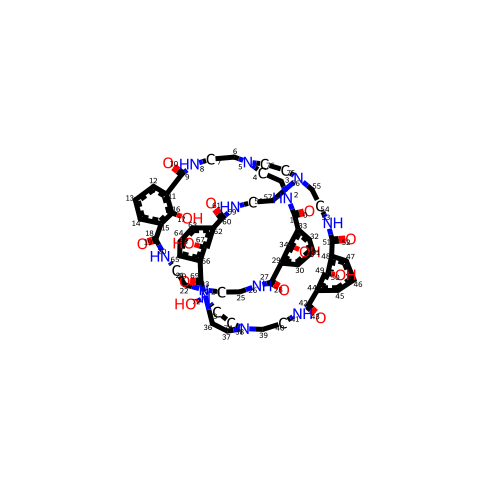 O=C1NCCN2CCNC(=O)c3cccc(c3O)C(=O)NCCN(CCNC(=O)c3cccc1c3O)CCN1CCNC(=O)c3cccc(c3O)C(=O)NCCN(CCNC(=O)c3cccc(c3O)C(=O)N(O)CC1)CC2